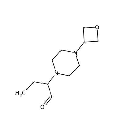 CCC(C=O)N1CCN(C2COC2)CC1